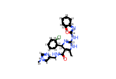 CC1=C(C(=O)NCc2cn(C)cn2)C(c2ccccc2Cl)N=C(Nc2nc3ccccc3o2)N1